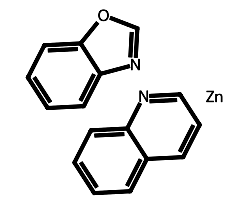 [Zn].c1ccc2ncccc2c1.c1ccc2ocnc2c1